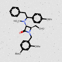 COc1ccc(C(Cc2ccccc2)N(C(=O)O)[C@@H]2C(=O)N(Cc3ccc(OC)cc3OC)[C@@H]2CC=O)cc1